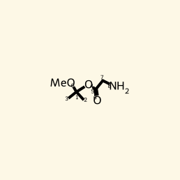 COC(C)(C)OC(=O)CN